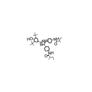 CCC(C)C(=O)Nc1ccc(-c2nc(-c3cc(C(C)(C)C)c(O)c(C(C)(C)C)c3)[nH]c2-c2ccc(NC(=O)C(C)CC)cc2)cc1